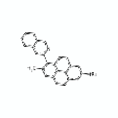 Cc1cc2ccc3cc(C(C)(C)C)cc4ccc(c1-c1cc5ccccc5cn1)c2c34